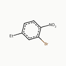 CCc1ccc([N+](=O)[O-])c(Br)c1